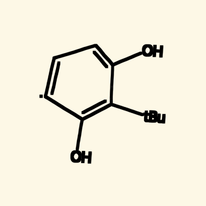 CC(C)(C)c1c(O)[c]ccc1O